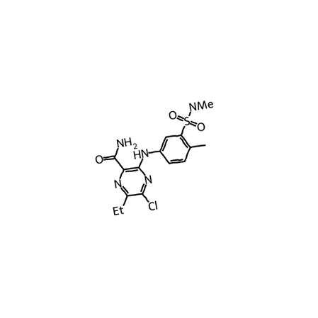 CCc1nc(C(N)=O)c(Nc2ccc(C)c(S(=O)(=O)NC)c2)nc1Cl